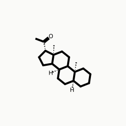 CC(=O)[C@H]1CCC2[C@@H]3CC[C@@H]4CCCC[C@]4(C)C3CC[C@@]21C